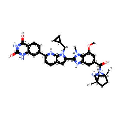 COc1cc(C(=O)N2C[C@H]3CC[C@@H]2[C@@H]3N)cc2nc(-c3cc4ccc(-c5ccc6c(=O)[nH]c(=O)[nH]c6c5)nc4n3CC3CC3)n(C)c12